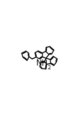 Nc1c(Cc2ccccc2)ccc2c1C1(c3ccccc3-c3ccccc31)c1ccccc1-2